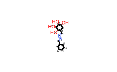 Oc1cc(C=NN=Cc2ccccc2)c(O)c(O)c1O